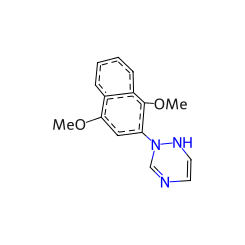 COc1cc(N2C=NC=CN2)c(OC)c2ccccc12